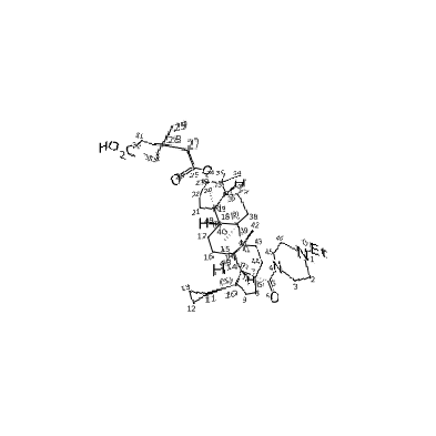 CCN1CCN(C(=O)[C@]23CC[C@@H](C4CC4)[C@@H]2[C@H]2CC[C@@H]4[C@@]5(C)CC[C@H](OC(=O)CC(C)(C)CC(=O)O)C(C)(C)[C@@H]5CC[C@@]4(C)[C@]2(C)CC3)CC1